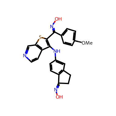 COc1ccc(/C(=N\O)c2sc3cnccc3c2Nc2ccc3c(c2)CC/C3=N\O)cc1